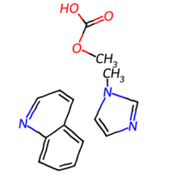 COC(=O)O.Cn1ccnc1.c1ccc2ncccc2c1